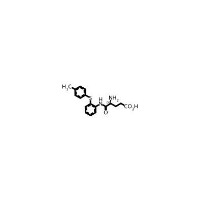 Cc1ccc(Sc2ccccc2NC(=O)[C@@H](N)CCC(=O)O)cc1